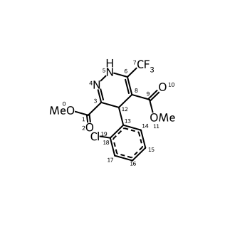 COC(=O)C1=NNC(C(F)(F)F)=C(C(=O)OC)C1c1ccccc1Cl